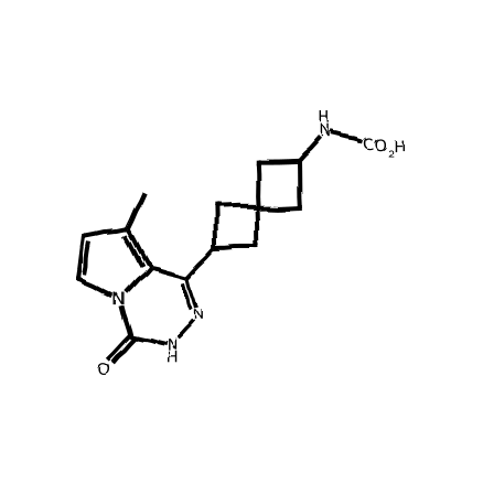 Cc1ccn2c(=O)[nH]nc(C3CC4(CC(NC(=O)O)C4)C3)c12